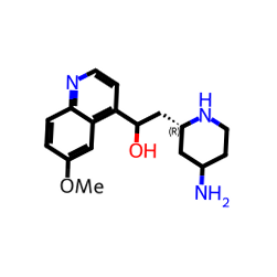 COc1ccc2nccc(C(O)C[C@H]3CC(N)CCN3)c2c1